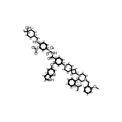 COc1ccccc1CN1CCN(C2CC3(CCN(c4ccc(C(=O)NS(=O)(=O)c5ccc(NCC6CCC(C)(O)CC6)c([N+](=O)[O-])c5)c(Oc5cnc6[nH]ccc6c5)c4)CC3)C2)C(c2ccccc2C(C)C)C1